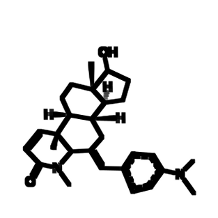 CN(C)c1ccc(C=C2C[C@@H]3[C@@H](CC[C@]4(C)C(O)CC[C@@H]34)[C@@]3(C)C=CC(=O)N(C)C23)cc1